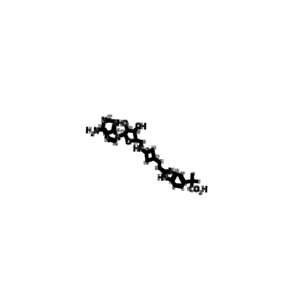 CC(C)(C(=O)O)c1ccc2[nH]c(CCC3CC(NCC4OC(n5cnc6c(N)ncnc65)C(O)C4O)C3)nc2c1